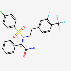 NC(=O)[C@@H](c1ccccc1)N(CCc1ccc(C(F)(F)F)c(F)c1)S(=O)(=O)c1ccc(Cl)cc1